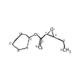 CCC1OC1C(=O)OC1CCCC1